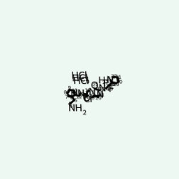 Cl.Cl.Cl.NCCc1ccccc1CNC(=O)Cn1c(Cl)cnc(NCC(F)(F)c2ccccn2)c1=O